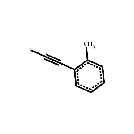 Cc1ccccc1C#CI